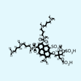 CN(C)CCCN(C)CCCN(C)S(=O)(=O)c1cc(S(=O)(=O)N(C)CCCN(C)CCCN(C)C)c2ccc3c(N(C)C)cc(OCC(COS(=O)(=O)O)(COS(=O)(=O)O)COS(=O)(=O)O)c4ccc1c2c43